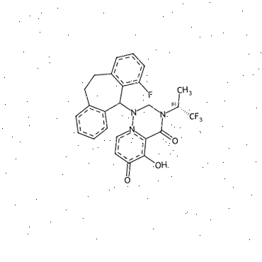 C[C@@H](N1CN(C2c3ccccc3CCc3cccc(F)c32)n2ccc(=O)c(O)c2C1=O)C(F)(F)F